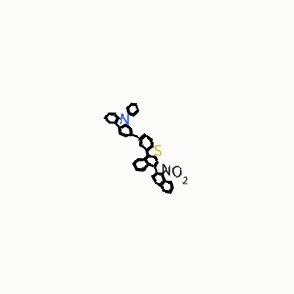 O=[N+]([O-])c1c(-c2cc3sc4ccc(-c5ccc6c7ccccc7n(-c7ccccc7)c6c5)cc4c3c3ccccc23)ccc2ccccc12